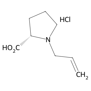 C=CCN1CCC[C@H]1C(=O)O.Cl